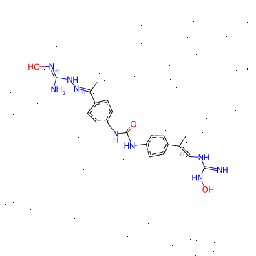 C/C(=C\NC(=N)NO)c1ccc(NC(=O)Nc2ccc(/C(C)=N/N/C(N)=N/O)cc2)cc1